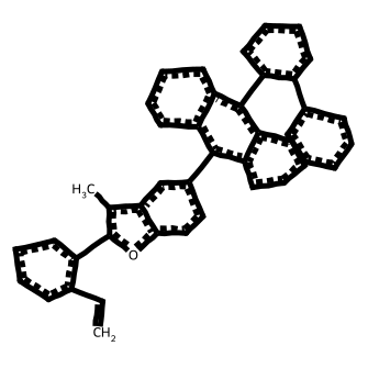 C=Cc1ccccc1-c1oc2ccc(-c3c4ccccc4c(-c4ccccc4-c4ccccc4)c4ccccc34)cc2c1C